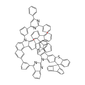 c1ccc(-c2cc(-c3cccc(-n4c5cc6c(cc5c5c7cc(-c8cccc(-c9nc(-n%10c%11cc%12c(cc%11c%11c%13ccccc%13ccc%11%10)Sc%10ccccc%10C%12%10c%11ccccc%11-c%11ccccc%11%10)nc%10ccccc9%10)c8)ccc7ccc54)Sc4ccccc4C64c5ccccc5-c5ccccc54)c3)nc(-c3ccccc3)n2)cc1